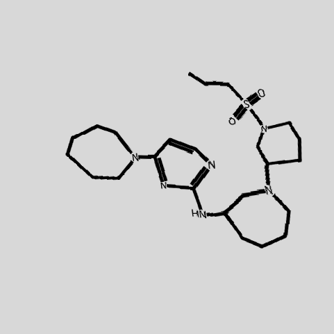 CCCS(=O)(=O)N1CCCC(N2CCCCC(Nc3nccc(N4CCCCCC4)n3)C2)C1